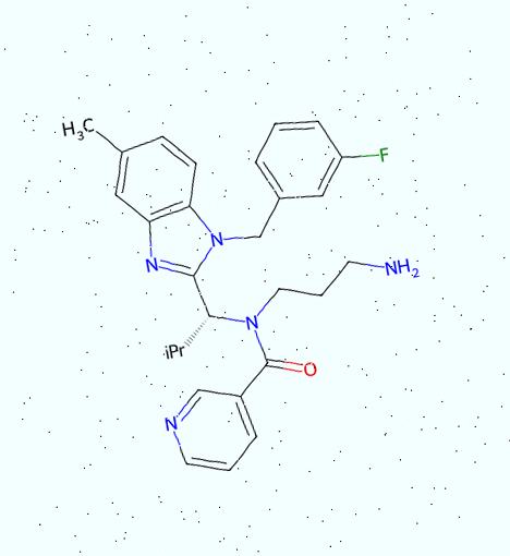 Cc1ccc2c(c1)nc([C@@H](C(C)C)N(CCCN)C(=O)c1cccnc1)n2Cc1cccc(F)c1